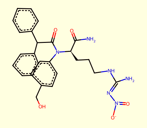 NC(=O)[C@@H](CCCNC(N)=N[N+](=O)[O-])N(C(=O)C(c1ccccc1)c1ccccc1)c1ccc(CO)cc1